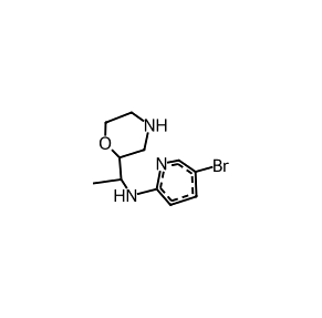 CC(Nc1ccc(Br)cn1)C1CNCCO1